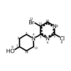 OC1CCN(c2nc(Cl)ncc2Br)CC1